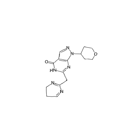 O=c1[nH]c(CC2=NCCC=N2)nc2c1cnn2C1CCOCC1